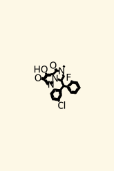 CN1CC(C(c2cccc(Cl)c2)c2ccccc2F)n2ncc(=O)c(O)c2C1=O